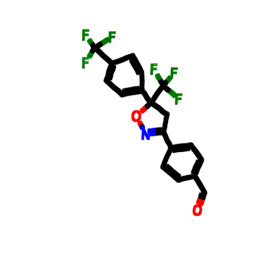 O=Cc1ccc(C2=NOC(c3ccc(C(F)(F)F)cc3)(C(F)(F)F)C2)cc1